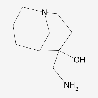 NCC1(O)CCN2CCCC1C2